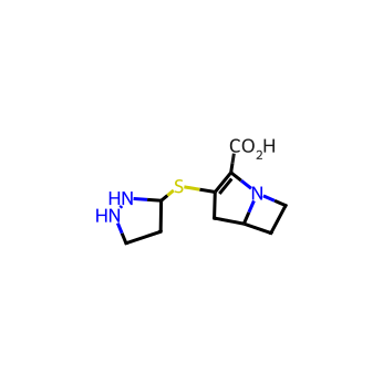 O=C(O)C1=C(SC2CCNN2)CC2CCN12